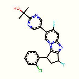 CC(C)(O)c1ncc(-c2cn3c4c(nc3cc2F)C(F)CC4c2ccccc2Cl)cn1